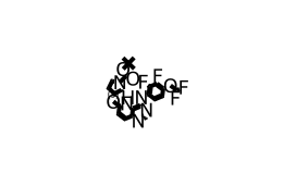 CC(C)(C)OC(=O)N1CC[C@H](Oc2ccc3ncnc(Nc4ccc(OC(F)F)c(F)c4F)c3n2)C1